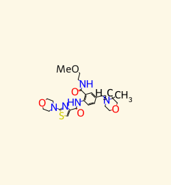 COCCNC(=O)c1cc(CN2CCOCC2(C)C)ccc1NC(=O)c1csc(N2CCOCC2)n1